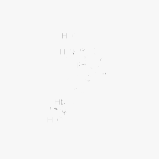 CC[C@@H](N)c1ccc(Cl)c(Oc2cccc(CNS(C)(=O)=O)c2)c1F